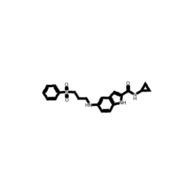 O=C(NC1CC1)c1cc2cc(NCCCS(=O)(=O)c3ccccc3)ccc2[nH]1